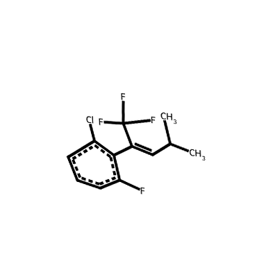 CC(C)/C=C(/c1c(F)cccc1Cl)C(F)(F)F